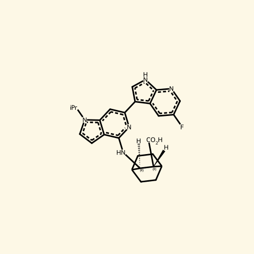 CC(C)n1ccc2c(N[C@@H]3C4CCC(CC4)[C@H]3C(=O)O)nc(-c3c[nH]c4ncc(F)cc34)cc21